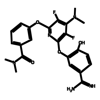 CN(C)C(=O)c1cccc(Oc2nc(Oc3cc(C(=N)N)ccc3O)c(F)c(N(C)C)c2F)c1